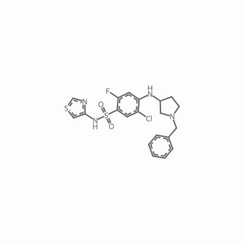 O=S(=O)(Nc1cscn1)c1cc(Cl)c(NC2CCN(Cc3ccccc3)C2)cc1F